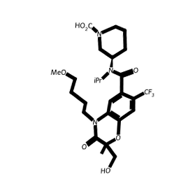 COCCCCN1C(=O)C(C)(CO)Oc2cc(C(F)(F)F)c(C(=O)N(C(C)C)[C@@H]3CCCN(C(=O)O)C3)cc21